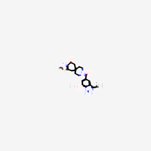 [2H]C([2H])([2H])c1nn(C)c2c(OCC)cc(C(=O)N3CCC4(CC3)CC(=O)c3nc(C(C)(C)C)sc3C4)cc12